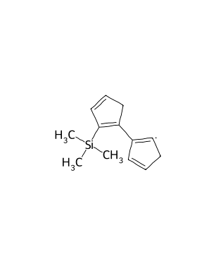 C[Si](C)(C)C1=C(C2=[C]CC=C2)CC=C1